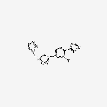 Fc1cc(C2=NO[C@H](Cn3ccnn3)C2)ccc1-n1ccnn1